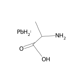 CC(N)C(=O)O.[PbH2]